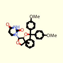 C=C1CO[C@@H](n2ccc(=O)[nH]c2=O)[C@@H]1OC(c1ccccc1)(c1ccc(OC)cc1)c1ccc(OC)cc1